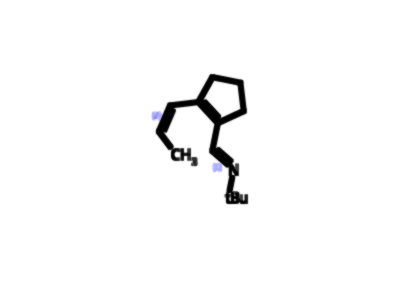 C/C=C\C1=C(/C=N/C(C)(C)C)CCC1